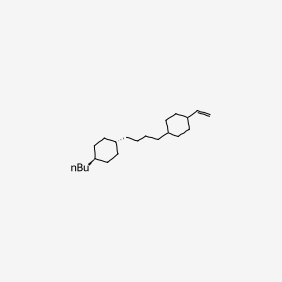 C=CC1CCC(CCCC[C@H]2CC[C@H](CCCC)CC2)CC1